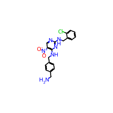 NCc1ccc(CNc2nc(NCc3ccccc3Cl)ncc2[N+](=O)[O-])cc1